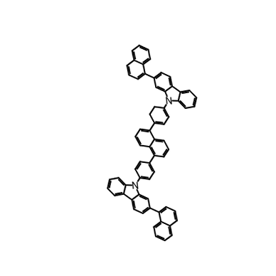 C1=C(c2cccc3c(-c4ccc(-n5c6ccccc6c6ccc(-c7cccc8ccccc78)cc65)cc4)cccc23)CCC(n2c3ccccc3c3ccc(-c4cccc5ccccc45)cc32)=C1